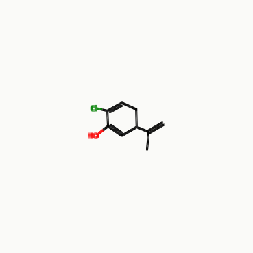 C=C(C)C1C=C(O)C(Cl)=CC1